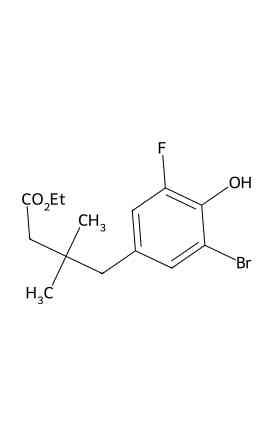 CCOC(=O)CC(C)(C)Cc1cc(F)c(O)c(Br)c1